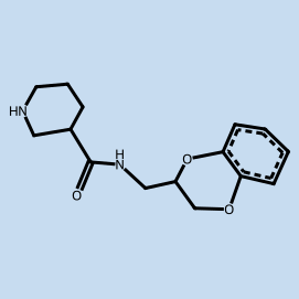 O=C(NCC1COc2ccccc2O1)C1CCCNC1